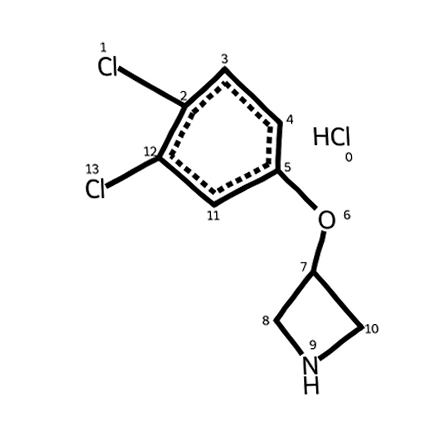 Cl.Clc1ccc(OC2CNC2)cc1Cl